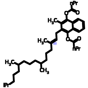 CCCC(=O)Oc1c(C)c(C/C=C(\C)CCCC(C)CCCC(C)CCCC(C)C)c(OC(=O)CCC)c2ccccc12